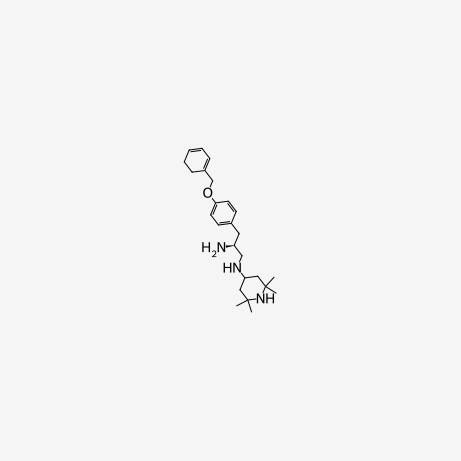 CC1(C)CC(NC[C@@H](N)Cc2ccc(OCC3=CC=CCC3)cc2)CC(C)(C)N1